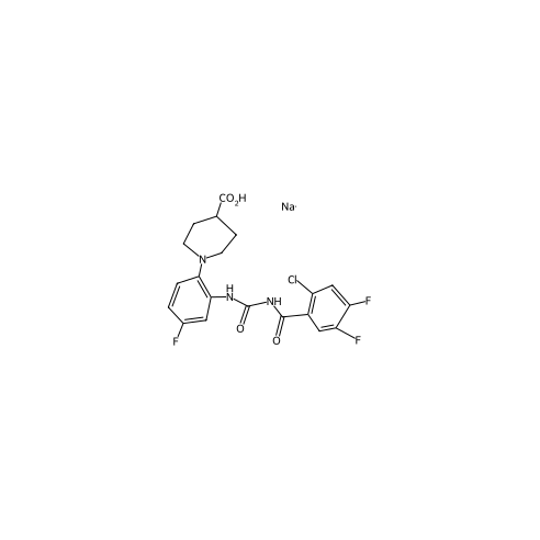 O=C(NC(=O)c1cc(F)c(F)cc1Cl)Nc1cc(F)ccc1N1CCC(C(=O)O)CC1.[Na]